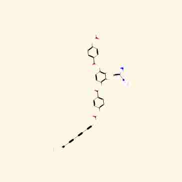 [C-]#[N+]/C(C#N)=C1\Sc2c(OC(=O)c3ccc(OC(=O)O)cc3)ccc(OC(=O)c3ccc(OC(=O)OC#CC#CC#CC#C)cc3)c2S1